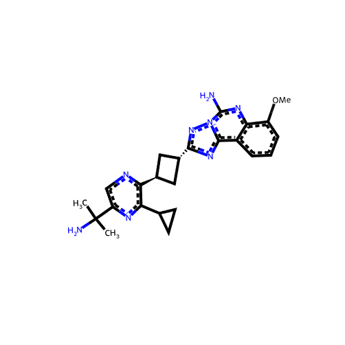 COc1cccc2c1nc(N)n1nc([C@H]3C[C@H](c4ncc(C(C)(C)N)nc4C4CC4)C3)nc21